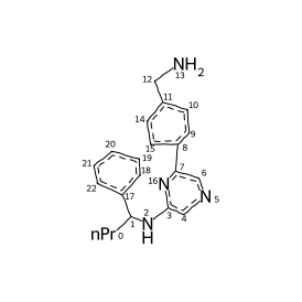 CCCC(Nc1cncc(-c2ccc(CN)cc2)n1)c1ccccc1